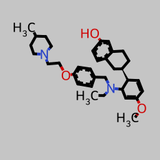 CCN(Cc1ccc(OCCN2CCC(C)CC2)cc1)C1C=C(OC)C=CC1[C@@H]1CCc2cc(O)ccc2C1